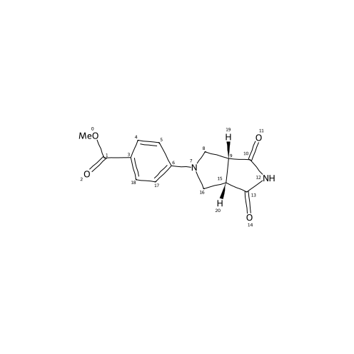 COC(=O)c1ccc(N2C[C@@H]3C(=O)NC(=O)[C@@H]3C2)cc1